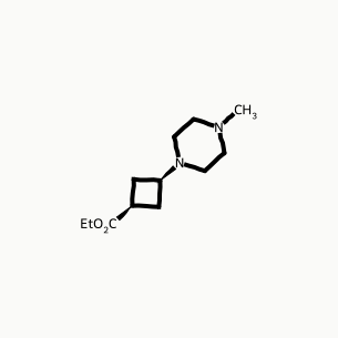 CCOC(=O)[C@H]1C[C@@H](N2CCN(C)CC2)C1